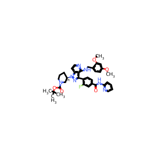 COc1ccc(CNc2nccc3c2c(-c2ccc(C(=O)Nc4ccccn4)cc2F)nn3[C@@H]2CCCN(C(=O)OC(C)(C)C)C2)c(OC)c1